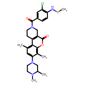 CSNc1ccc(C(=O)N2CCc3c(c(=O)oc4c(C)c(N5CCN(C)C(C)C5)cc(C)c34)C2)cc1Cl